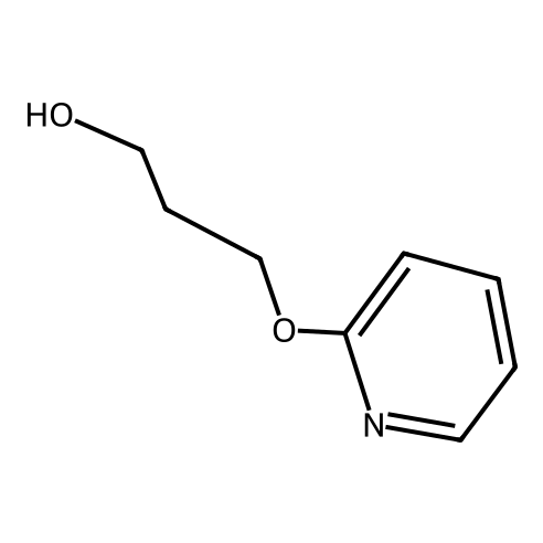 OCCCOc1ccccn1